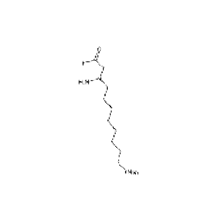 CCCCCCCCCCCCCCCCCN(N)CC(=O)I